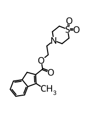 CC1=C(C(=O)OCCN2CCS(=O)(=O)CC2)Cc2ccccc21